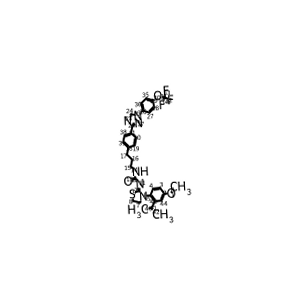 COc1ccc(N2CCS/C2=N\C(=O)NCCCc2ccc(-c3ncn(-c4ccc(OC(F)(F)F)cc4)n3)cc2)c(C(C)C)c1